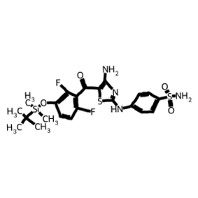 CC(C)(C)[Si](C)(C)Oc1ccc(F)c(C(=O)c2sc(Nc3ccc(S(N)(=O)=O)cc3)nc2N)c1F